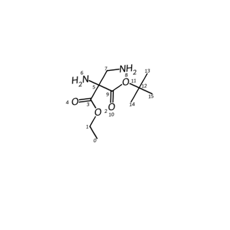 CCOC(=O)C(N)(CN)C(=O)OC(C)(C)C